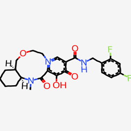 CN1C(=O)c2c(O)c(=O)c(C(=O)NCc3ccc(F)cc3F)cn2CCOC[C@@H]2CCCC[C@@H]21